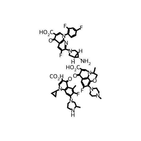 CC1COc2c(N3CCN(C)CC3)c(F)cc3c(=O)c(C(=O)O)cn1c23.Cc1c(F)c(N2CCNC(C)C2)cc2c1c(=O)c(C(=O)O)cn2C1CC1.N[C@@H]1[C@H]2CN(c3nc4c(cc3F)c(=O)c(C(=O)O)cn4-c3ccc(F)cc3F)C[C@@H]12